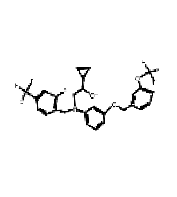 OC(CN(Cc1ccc(C(F)(F)F)cc1F)c1cccc(OCc2cccc(OC(F)(F)F)c2)c1)C1CC1